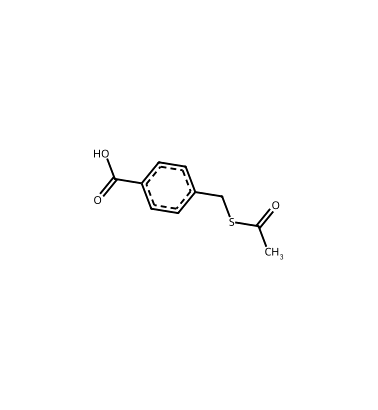 CC(=O)SCc1ccc(C(=O)O)cc1